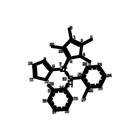 CC1=C(C)C(C)[C]([Zr]([C]2=CC=CC2)[SiH](c2ccccc2C)c2ccccc2C)=C1C